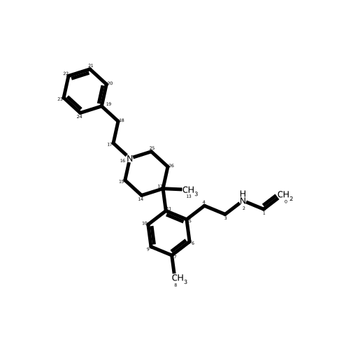 C=CNCCc1cc(C)ccc1C1(C)CCN(CCc2ccccc2)CC1